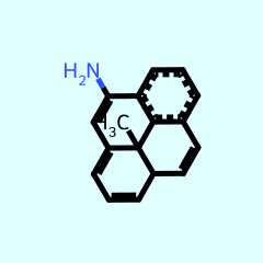 CC12C3=CC=CC1C=Cc1cccc(c12)C(N)=C3